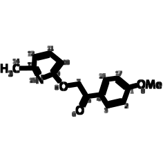 COc1ccc(C(=O)COc2cccc(C)n2)cc1